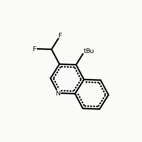 CC(C)(C)c1c(C(F)F)cnc2ccccc12